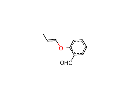 CC=COc1ccccc1C=O